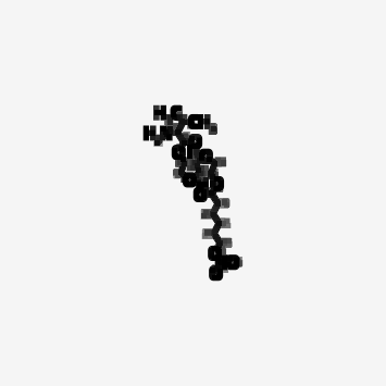 CC(C)[C@H](N)C(=O)O[C@@H]1CO[C@H]2[C@@H]1OC[C@H]2OC(=O)CCCCCO[N+](=O)[O-]